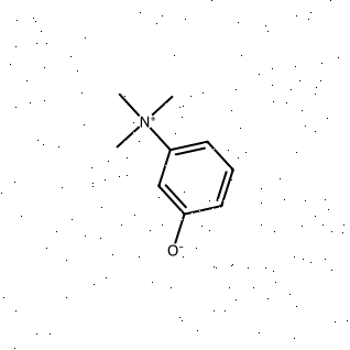 C[N+](C)(C)c1cccc([O-])c1